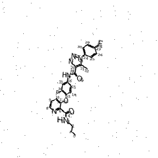 CCCNC(=O)c1ncccc1Oc1ccc(NC(=O)c2nnn(-c3ccc(F)cc3)c2C)cc1F